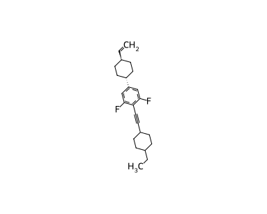 C=C[C@H]1CC[C@H](c2cc(F)c(C#CC3CCC(CC)CC3)c(F)c2)CC1